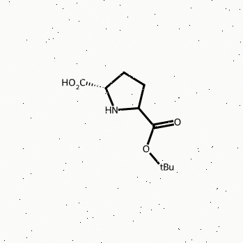 CC(C)(C)OC(=O)C1CC[C@@H](C(=O)O)N1